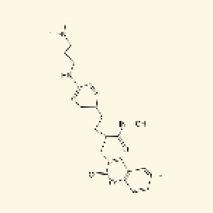 Cc1ccc2oc(=O)c(CC(CCc3ccc(NCCCN(C)C)cc3)C(=O)NO)cc2c1